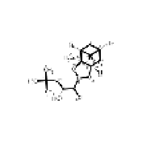 CC(C)(C)O[C@@H](O)C(Cl)B1O[C@@H]2C[C@@H]3C[C@@H](C3(C)C)[C@]2(C)O1